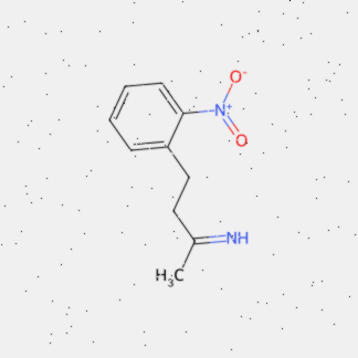 CC(=N)CCc1ccccc1[N+](=O)[O-]